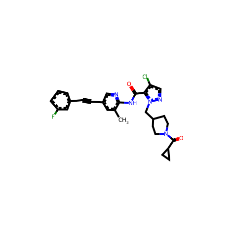 Cc1cc(C#Cc2cccc(F)c2)cnc1NC(=O)c1c(Cl)cnn1CC1CCN(C(=O)C2CC2)CC1